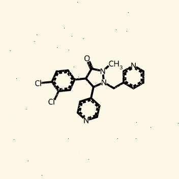 CN1C(=O)C(c2ccc(Cl)c(Cl)c2)C(c2ccncc2)N1Cc1cccnc1